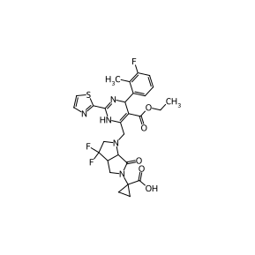 CCOC(=O)C1=C(CN2CC(F)(F)C3CN(C4(C(=O)O)CC4)C(=O)C32)NC(c2nccs2)=NC1c1cccc(F)c1C